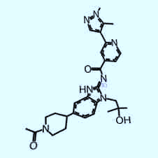 CC(=O)N1CCC(c2ccc3c(c2)[nH]/c(=N\C(=O)c2ccnc(-c4cnn(C)c4C)c2)n3CC(C)(C)O)CC1